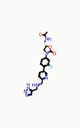 CC(=O)NC[C@H]1CN(c2ccc(-c3ccc(CNCc4cnn[nH]4)nc3)c(F)c2)C(=O)O1